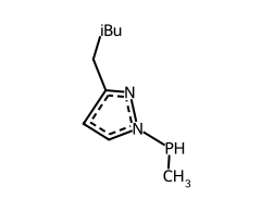 CCC(C)Cc1ccn(PC)n1